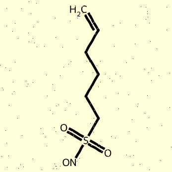 C=CCCCCS(=O)(=O)N=O